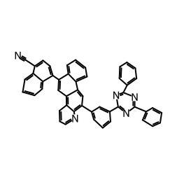 N#Cc1ccc(-c2cc3c4cccnc4c(-c4cccc(-c5nc(-c6ccccc6)nc(-c6ccccc6)n5)c4)cc3c3ccccc23)c2ccccc12